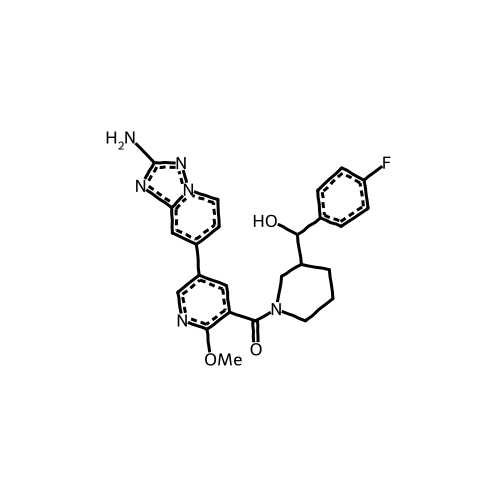 COc1ncc(-c2ccn3nc(N)nc3c2)cc1C(=O)N1CCCC(C(O)c2ccc(F)cc2)C1